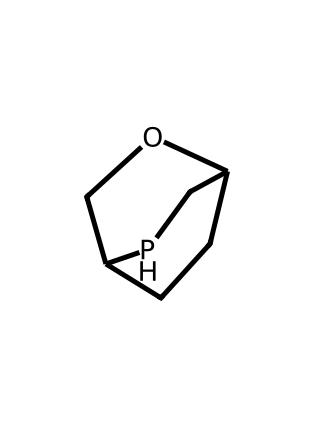 C1CC2COC1CP2